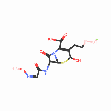 BO/N=C\C(=O)NC1C(=O)N2C(C(=O)O)=C(CCBBF)C(O)SC12